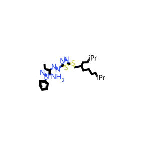 Cc1nn(-c2ccccc2)c(N)c1N=Nc1nnc(SCC(CCCCC(C)C)CCC(C)C)s1